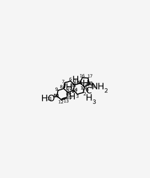 C[C@]12CC[C@H]3[C@@H](CC=C4C[C@H](O)C=C[C@@H]43)[C@@H]1CC[C@@H]2N